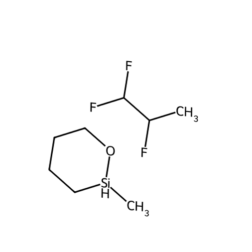 CC(F)C(F)F.C[SiH]1CCCCO1